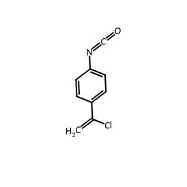 C=C(Cl)c1ccc(N=C=O)cc1